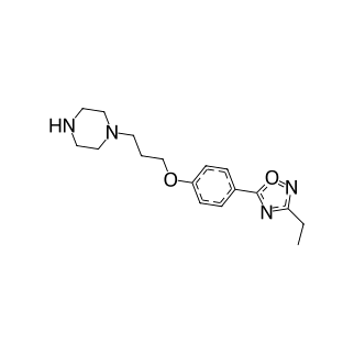 CCc1noc(-c2ccc(OCCCN3CCNCC3)cc2)n1